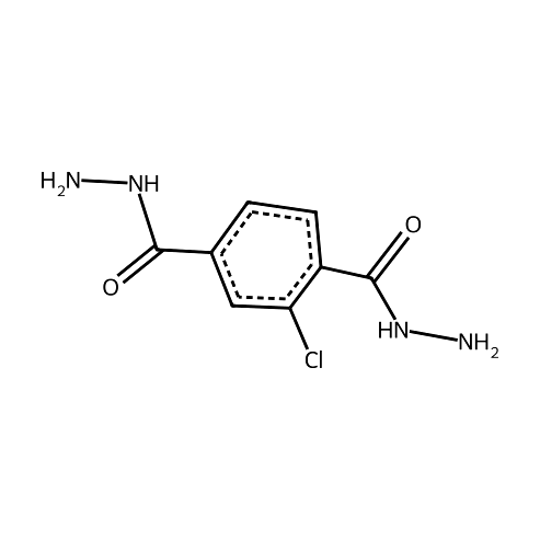 NNC(=O)c1ccc(C(=O)NN)c(Cl)c1